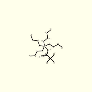 CCCCP(CCCC)(CCCC)(CCCC)OC(=O)C(C)(C)C